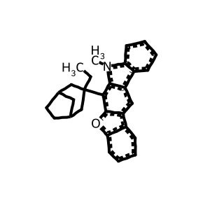 CCC1(c2c3oc4ccccc4c3cc3c4ccccc4n(C)c23)CC2CCC(C2)C1